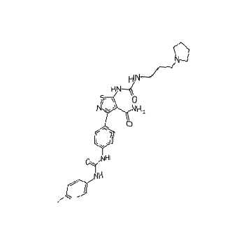 C=C(C)/C=C\C(=C/C)NC(=O)Nc1ccc(-c2nsc(NC(=O)NCCCN3CCCC3)c2C(N)=O)cc1